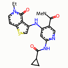 CCn1ccc2scc(Nc3cc(NC(=O)C4CC4)ncc3C(=O)NC)c2c1=O